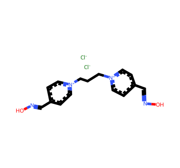 ON=Cc1cc[n+](CCC[n+]2ccc(C=NO)cc2)cc1.[Cl-].[Cl-]